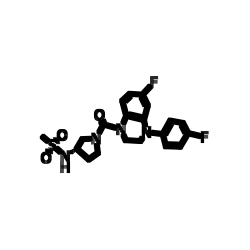 CS(=O)(=O)N[C@H]1CCN(C(=O)N2CCN(c3ccc(F)cc3)c3cc(F)ccc32)C1